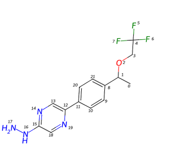 CC(OCC(F)(F)F)c1ccc(-c2cnc(NN)cn2)cc1